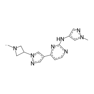 [CH2]N1CC(n2cc(-c3ccnc(Nc4cnn(C)c4)n3)cn2)C1